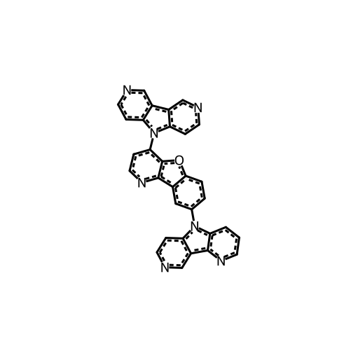 c1cnc2c3cnccc3n(-c3ccc4oc5c(-n6c7ccncc7c7cnccc76)ccnc5c4c3)c2c1